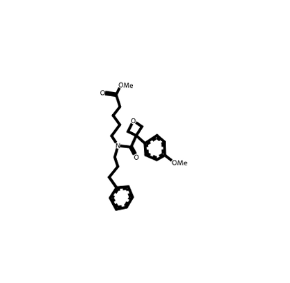 COC(=O)CCCCN(CCCc1ccccc1)C(=O)C1(c2ccc(OC)cc2)COC1